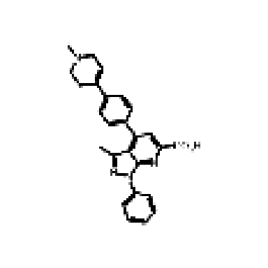 Cc1nn(-c2ccccc2)c2nc(C(=O)O)cc(-c3ccc(C4=CCN(C)CC4)cc3)c12